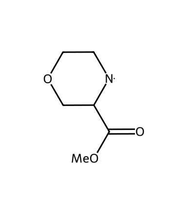 COC(=O)C1COCC[N]1